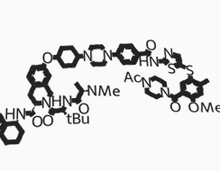 CN[C@@H](C)C(=O)N[C@H](C(=O)N1Cc2cc(OC3CCC(N4CCN(c5ccc(C(=O)Nc6ncc(Sc7cc(C(=O)N8CCN(C(C)=O)CC8)c(OC)cc7C)s6)cc5)CC4)CC3)ccc2C[C@H]1C(=O)N[C@@H]1CCCc2ccccc21)C(C)(C)C